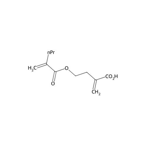 C=C(CCOC(=O)C(=C)CCC)C(=O)O